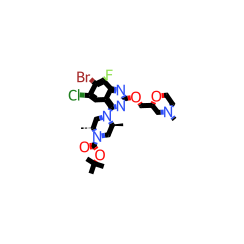 C[C@@H]1CN(c2nc(OCC3CN(C)CCO3)nc3c(F)c(Br)c(Cl)cc23)[C@@H](C)CN1C(=O)OC(C)(C)C